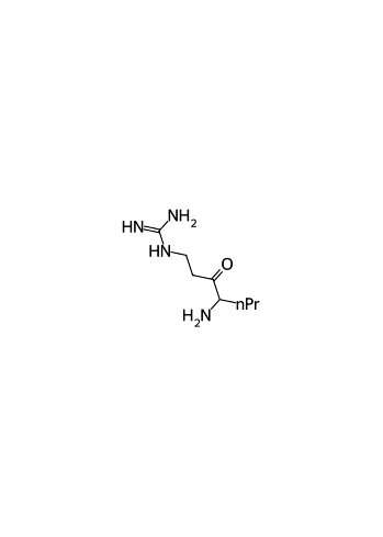 CCCC(N)C(=O)CCNC(=N)N